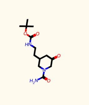 CC(C)(C)OC(=O)NCCC1CC(=O)CN(C(N)=O)C1